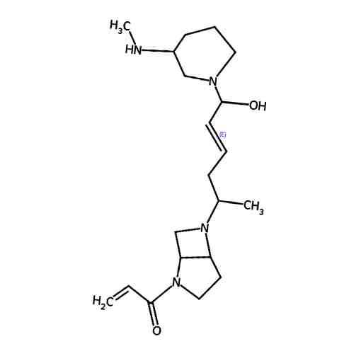 C=CC(=O)N1CCC2C1CN2C(C)C/C=C/C(O)N1CCCC(NC)C1